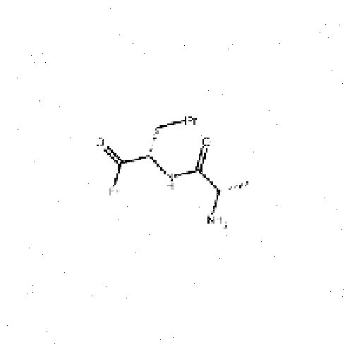 CCC(=O)[C@H](CC(C)C)NC(=O)[C@H](C)N